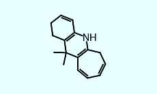 CC1(C)C2=C(CC=CC=C2)NC2=C1CCC=C2